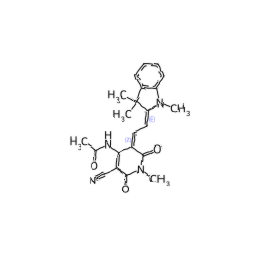 CC(=O)NC1=C(C#N)C(=O)N(C)C(=O)/C1=C\C=C1\N(C)c2ccccc2C1(C)C